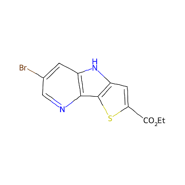 CCOC(=O)c1cc2[nH]c3cc(Br)cnc3c2s1